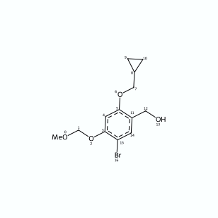 COCOc1cc(OCC2CC2)c(CO)cc1Br